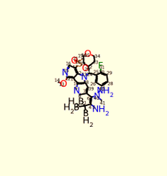 BC(B)(B)/C(N)=C(\c1cnc2c3c(OC)ncc(S(C)(=O)=O)c3n([C@H](c3ccccc3F)C3CCOCC3)c2c1)N(C)N